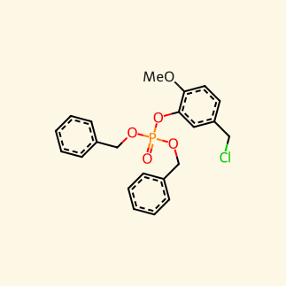 COc1ccc(CCl)cc1OP(=O)(OCc1ccccc1)OCc1ccccc1